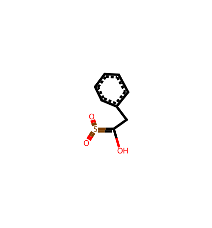 O=S(=O)=C(O)Cc1ccccc1